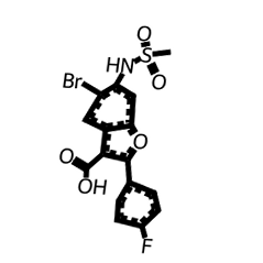 CS(=O)(=O)Nc1cc2oc(-c3ccc(F)cc3)c(C(=O)O)c2cc1Br